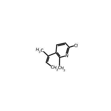 C/C=C(/C)c1ccc(Cl)nc1C